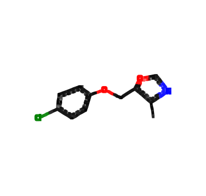 Cc1ncoc1COc1[c]cc(Cl)cc1